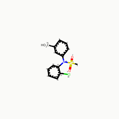 CS(=O)(=O)N(c1cccc(C(=O)O)c1)c1ccccc1Cl